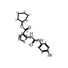 O=C(Nc1ccc(Br)cc1)Nc1snnc1C(=O)OC1CCCCC1